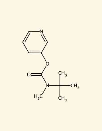 CN(C(=O)Oc1cccnc1)C(C)(C)C